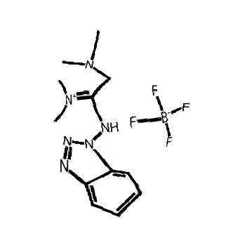 CN(C)CC(Nn1nnc2ccccc21)=[N+](C)C.F[B-](F)(F)F